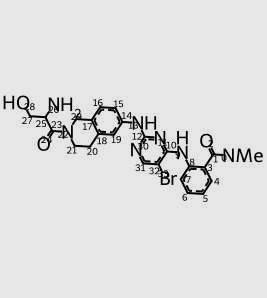 CNC(=O)c1ccccc1Nc1nc(Nc2ccc3c(c2)CCN(C(=O)C(N)CO)C3)ncc1Br